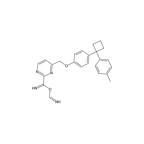 Cc1ccc(C2(c3ccc(OCc4ccnc(C(=N)OC=N)n4)cc3)CCC2)cc1